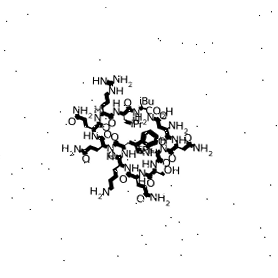 CC[C@H](C)[C@H](NC(=O)[C@H](CC(C)C)NC(=O)[C@H](CCCNC(=N)N)NC(=O)[C@H](CCC(N)=O)NC(=O)[C@H](CCC(N)=O)NC(=O)[C@H](Cc1c[nH]c2ccccc12)NC(=O)[C@H](CCCCN)NC(=O)[C@H](CCC(N)=O)NC(=O)[C@H](CO)NC(=O)[C@@H](NC(=O)[C@H](CC(N)=O)NC(=O)[C@@H](N)CC(N)=O)C(C)C)C(=O)O